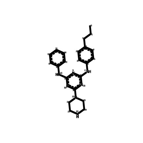 CCCc1ccc(Nc2nc(Nc3ccccc3)nc(N3CCNCC3)n2)cc1